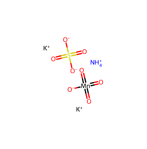 O=S(=O)([O-])[O-].[K+].[K+].[NH4+].[O]=[Mn](=[O])(=[O])[O-]